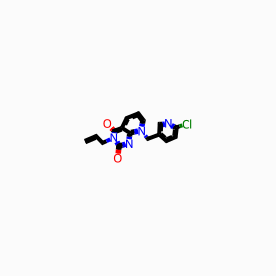 C=CCn1c(=O)nc2n(Cc3ccc(Cl)nc3)cccc-2c1=O